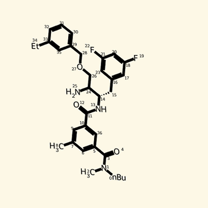 CCCCN(C)C(=O)c1cc(C)cc(C(=O)N[C@@H](Cc2cc(F)cc(F)c2)C(N)COCc2cccc(CC)c2)c1